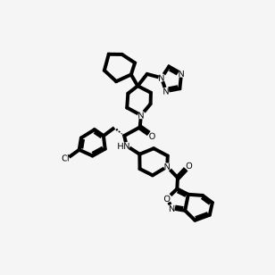 O=C(c1onc2ccccc12)N1CCC(N[C@H](Cc2ccc(Cl)cc2)C(=O)N2CCC(Cn3cncn3)(C3CCCCC3)CC2)CC1